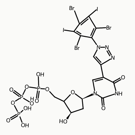 O=c1[nH]c(=O)n([C@H]2C[C@@H](O)C(COP(=O)(O)OP(=O)(O)OP(=O)(O)O)O2)cc1-c1cn(-c2c(Br)c(I)c(Br)c(I)c2Br)nn1